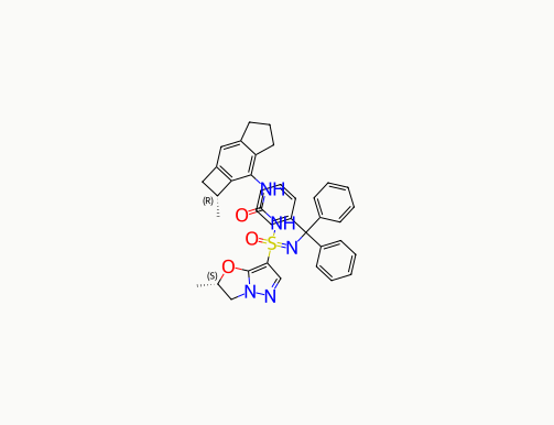 C[C@@H]1Cc2cc3c(c(NC(=O)NS(=O)(=NC(c4ccccc4)(c4ccccc4)c4ccccc4)c4cnn5c4O[C@@H](C)C5)c21)CCC3